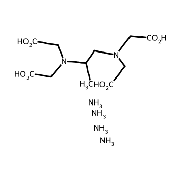 CC(CN(CC(=O)O)CC(=O)O)N(CC(=O)O)CC(=O)O.N.N.N.N